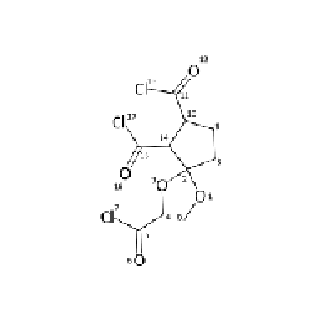 COC1(OCC(=O)Cl)CCC(C(=O)Cl)C1C(=O)Cl